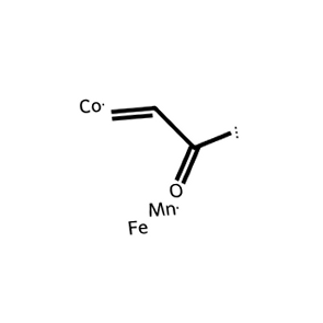 [C]C(=O)C=C.[Co].[Fe].[Mn]